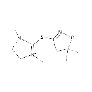 CN1CC[N+](C)=C1SC1=NOC(C)(C)C1